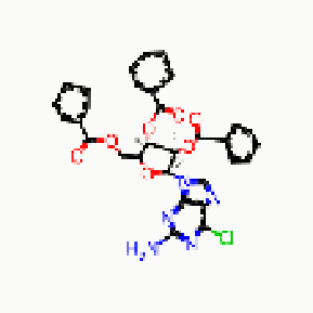 C[C@]1(OC(=O)c2ccccc2)C(n2cnc3c(Cl)nc(N)nc32)OC(COC(=O)c2ccccc2)[C@H]1OC(=O)c1ccccc1